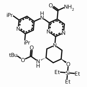 CC[Si](CC)(CC)O[C@H]1C[C@H](NC(=O)OC(C)(C)C)CN(c2ncc(C(N)=O)c(Nc3cc(C(C)C)nc(C(C)C)c3)n2)C1